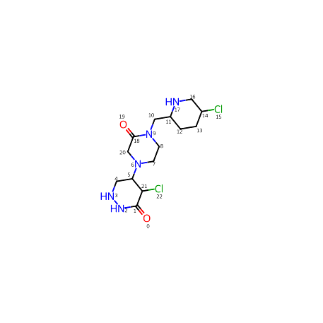 O=C1NNCC(N2CCN(CC3CCC(Cl)CN3)C(=O)C2)C1Cl